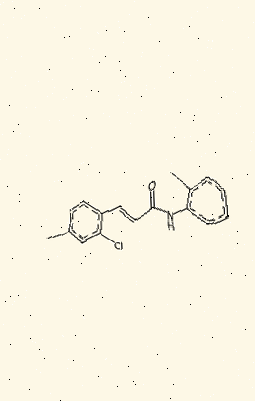 Cc1ccc(C=CC(=O)Nc2ccccc2C)c(Cl)c1